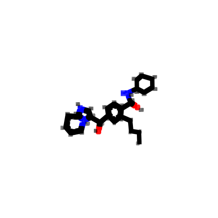 CCCCc1cc(C(=O)c2cnc3ccccn23)ccc1C(=O)NC1CCCCC1